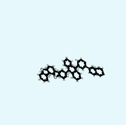 c1cc(-c2ccc3ccccc3c2)cc(-c2c3ccccc3c(-c3ccc4oc5c(ccc6oc7ccccc7c65)c4c3)c3ccccc23)c1